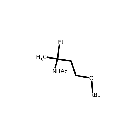 CCC(C)(CCOC(C)(C)C)NC(C)=O